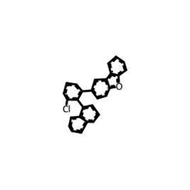 Clc1cccc(-c2ccc3oc4ccccc4c3c2)c1-c1cccc2ccccc12